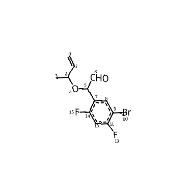 C=CC(C)OC(C=O)c1cc(Br)c(F)cc1F